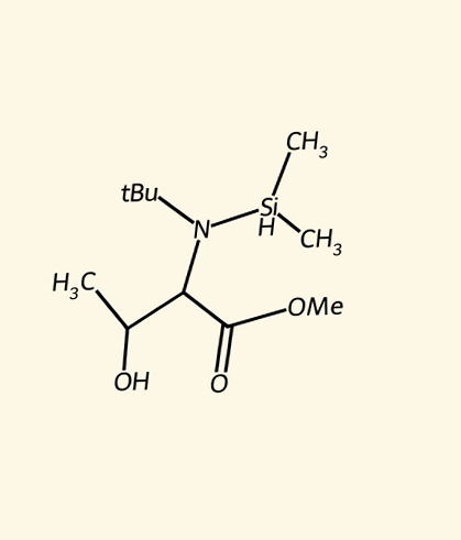 COC(=O)C(C(C)O)N([SiH](C)C)C(C)(C)C